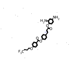 Nc1ccc(OC(=O)/C=C/c2ccc(OC(=O)c3ccc(OCCCC(F)(F)F)cc3)cc2)c(N)c1